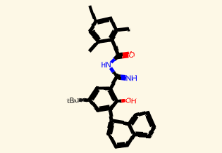 Cc1cc(C)c(C(=O)NC(=N)c2cc(C(C)(C)C)cc(-c3cccc4ccccc34)c2O)c(C)c1